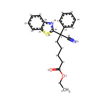 CCOC(=O)CCCCC(C#N)(c1ccccc1)c1nc2ccccc2s1